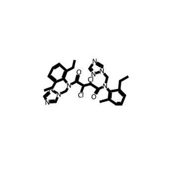 CCc1cccc(C)c1N(Cn1cncn1)C(=O)C(Cl)C(Cl)C(=O)N(Cn1cncn1)c1c(CC)cccc1CC